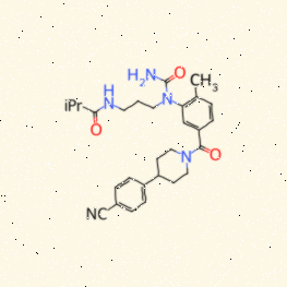 Cc1ccc(C(=O)N2CCC(c3ccc(C#N)cc3)CC2)cc1N(CCCNC(=O)C(C)C)C(N)=O